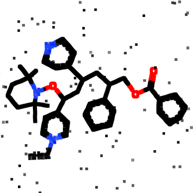 CCCCCC[n+]1ccc(C(CC(CC(COC(=O)c2ccccc2)c2ccccc2)c2ccncc2)ON2C(C)(C)CCCC2(C)C)cc1